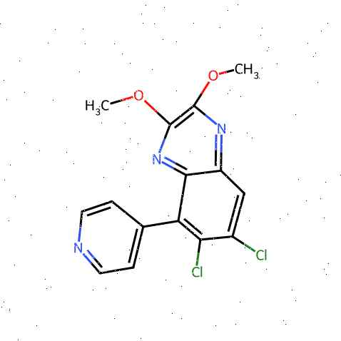 COc1nc2cc(Cl)c(Cl)c(-c3ccncc3)c2nc1OC